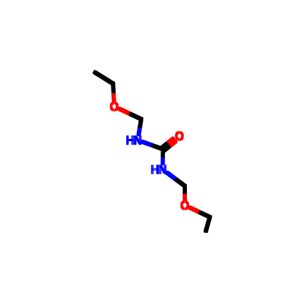 CCOCNC(=O)NCOCC